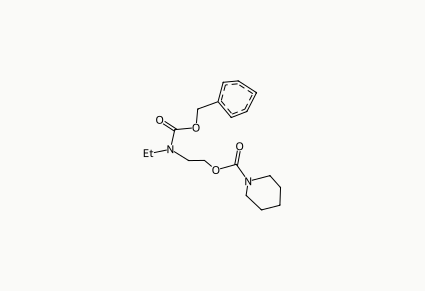 CCN(CCOC(=O)N1CCCCC1)C(=O)OCc1ccccc1